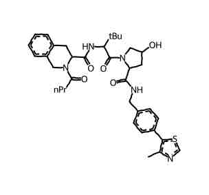 CCCC(=O)N1Cc2ccccc2CC1C(=O)NC(C(=O)N1CC(O)CC1C(=O)NCc1ccc(-c2scnc2C)cc1)C(C)(C)C